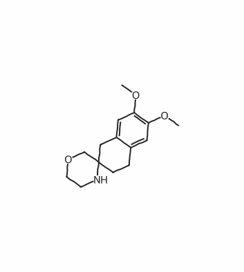 COc1cc2c(cc1OC)CC1(CC2)COCCN1